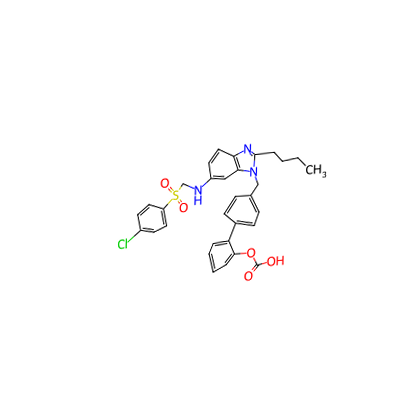 CCCCc1nc2ccc(NCS(=O)(=O)c3ccc(Cl)cc3)cc2n1Cc1ccc(-c2ccccc2OC(=O)O)cc1